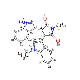 CN1C(=O)C(c2c[nH]c3ccccc23)C(c2cn(C)c3ccccc23)C1=O